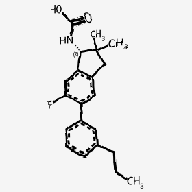 CCCc1cccc(-c2cc3c(cc2F)[C@H](NC(=O)O)C(C)(C)C3)c1